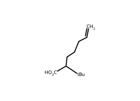 C=CCCCC(C(=O)O)C(C)(C)C